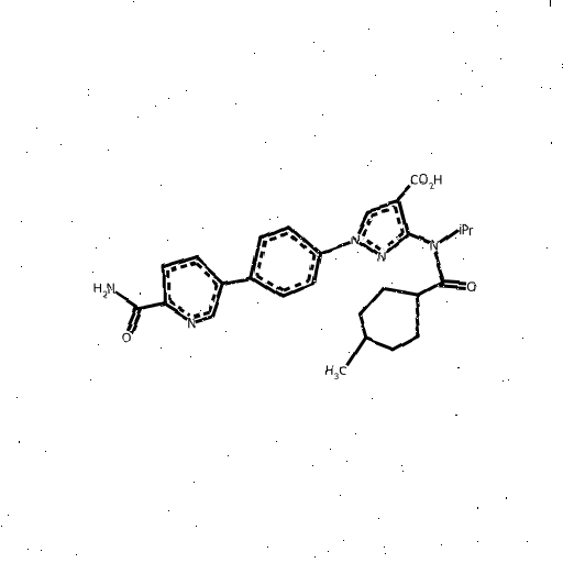 CC1CCC(C(=O)N(c2nn(-c3ccc(-c4ccc(C(N)=O)nc4)cc3)cc2C(=O)O)C(C)C)CC1